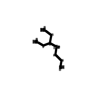 SCC[Se]C(CS)CS